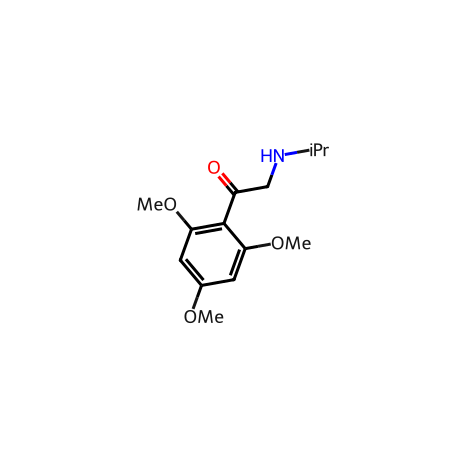 COc1cc(OC)c(C(=O)CNC(C)C)c(OC)c1